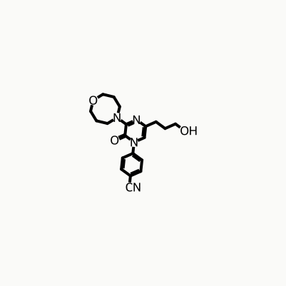 N#Cc1ccc(-n2cc(CCCO)nc(N3CCCOCCC3)c2=O)cc1